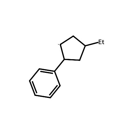 [CH2]CC1C[CH]C(c2ccccc2)C1